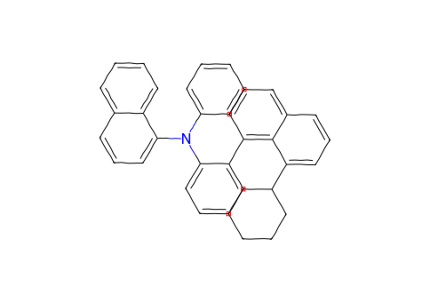 c1ccc(N(c2ccccc2-c2cccc3cccc(C4CCCCC4)c23)c2cccc3ccccc23)cc1